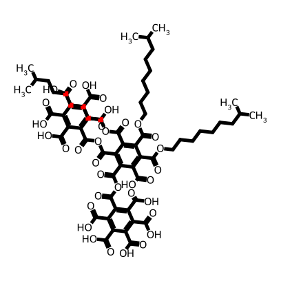 CC(C)CCCCCCCOC(=O)c1c(C(=O)O)c(C(=O)OC(=O)c2c(C(=O)O)c(C(=O)O)c(C(=O)O)c(C(=O)O)c2C(=O)O)c(C(=O)OC(=O)c2c(C(=O)O)c(C(=O)O)c(C(=O)O)c(C(=O)O)c2C(=O)O)c(C(=O)OCCCCCCCC(C)C)c1C(=O)OCCCCCCCC(C)C